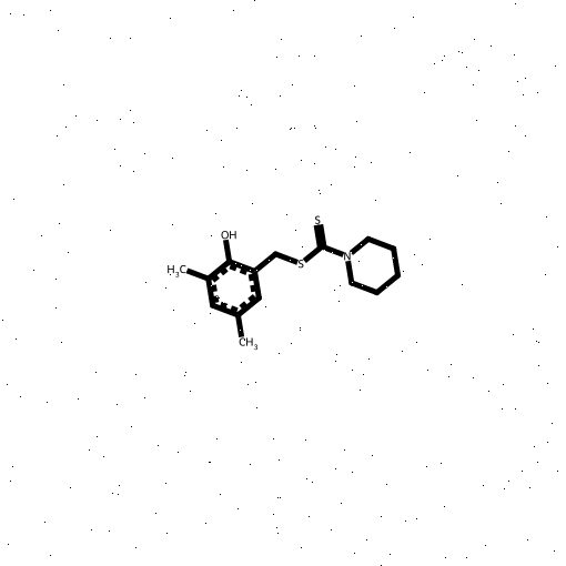 Cc1cc(C)c(O)c(CSC(=S)N2CCCCC2)c1